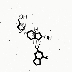 OCc1csc([C@H]2CC[C@H]3[C@@H](C2)C[C@H](O)[C@@H]3COc2cc(F)c3c(c2)CCC3)n1